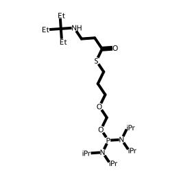 CCC(CC)(CC)NCCC(=O)SCCCOCOP(N(C(C)C)C(C)C)N(C(C)C)C(C)C